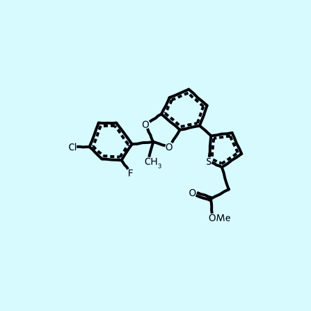 COC(=O)Cc1ccc(-c2cccc3c2OC(C)(c2ccc(Cl)cc2F)O3)s1